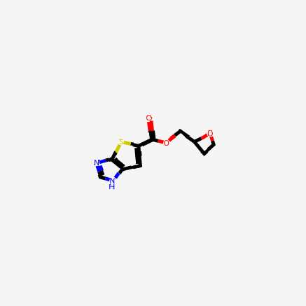 O=C(OCC1CCO1)c1cc2[nH]cnc2s1